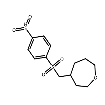 O=[SH](=O)c1ccc(S(=O)(=O)CC2CCCOCC2)cc1